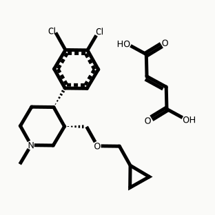 CN1CC[C@H](c2ccc(Cl)c(Cl)c2)[C@H](COCC2CC2)C1.O=C(O)C=CC(=O)O